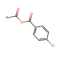 CC(=O)C(=O)OC(=O)c1ccc(Cl)cc1